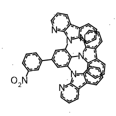 O=[N+]([O-])c1cccc(-c2cc(-n3c4ccccc4c4cccnc43)c(-n3c4ccccc4c4cccnc43)c(-n3c4ccccc4c4cccnc43)c2)c1